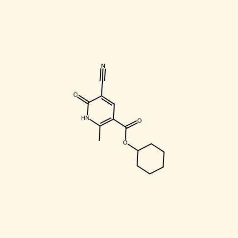 Cc1[nH]c(=O)c(C#N)cc1C(=O)OC1CCCCC1